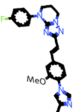 COc1cc(C=Cc2nc3n(n2)CCCN3c2ccc(F)cc2)ccc1-n1cnc(C)c1